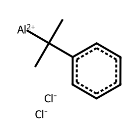 C[C](C)([Al+2])c1ccccc1.[Cl-].[Cl-]